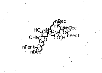 CCCCCCCCCCCC(CC(=O)NC(COC1(NC(=O)CC(CCCCCCCCCCC)OC(=O)CCCCC)CC(OC(=O)CC(CCCCCCCCCCC)OC(=O)CCCCC)C(OC=O)C(CO)O1)C(=O)O)OC(=O)CCCCC